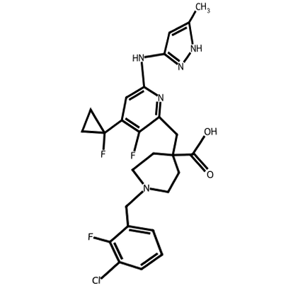 Cc1cc(Nc2cc(C3(F)CC3)c(F)c(CC3(C(=O)O)CCN(Cc4cccc(Cl)c4F)CC3)n2)n[nH]1